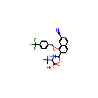 CC(C)(C)C(NC(=O)c1ccc2ccc(C#N)cc2c1OCc1ccc(C(F)(F)F)cc1)C(=O)O